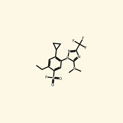 CCc1cc(C2CC2)c(-n2nc(C(F)(F)F)nc2N(C)C)cc1S(=O)(=O)F